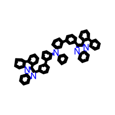 c1ccc(-c2ccccc2-c2nc3ccccc3nc2-c2cccc(-c3cccc(N(c4ccccc4)c4cccc(-c5cccc(-c6nc7ccccc7nc6-c6ccccc6-c6ccccc6)c5)c4)c3)c2)cc1